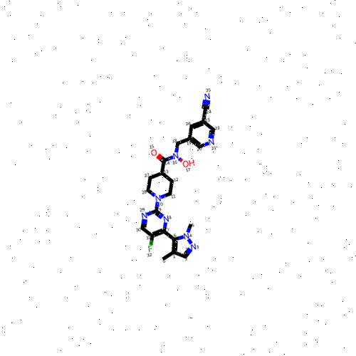 Cc1cnn(C)c1-c1nc(N2CCC(C(=O)N(O)Cc3cncc(C#N)c3)CC2)ncc1F